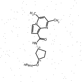 CCCCCO[C@@H]1CC[C@@H](NC(=O)c2ccn3c(C)cc(C)nc23)C1